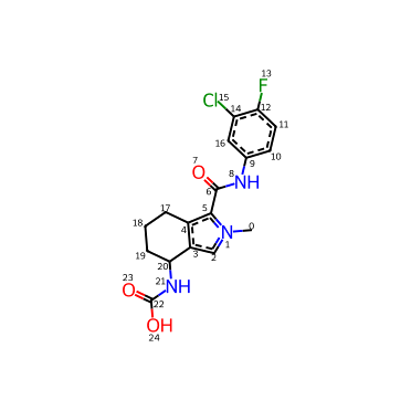 Cn1cc2c(c1C(=O)Nc1ccc(F)c(Cl)c1)CCCC2NC(=O)O